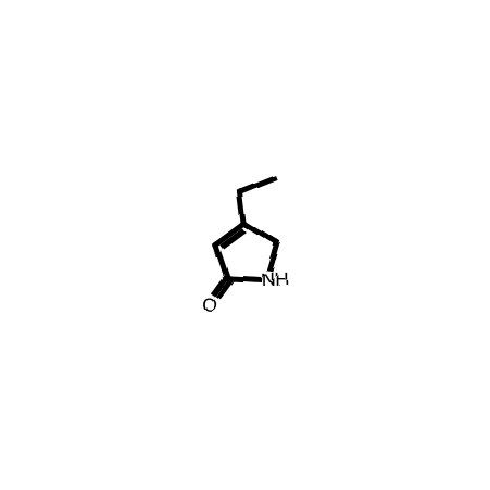 CCC1=CC(=O)NC1